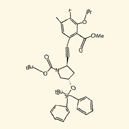 COC(=O)c1c(C#C[C@H]2C[C@H](O[Si](c3ccccc3)(c3ccccc3)C(C)(C)C)CN2C(=O)OC(C)(C)C)cc(C)c(F)c1OC(C)C